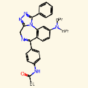 CCCN(CCC)c1ccc2c(c1)-n1c(nnc1-c1ccccc1)CN=C2c1ccc(NC(=O)CC)cc1